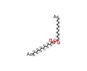 CC(=O)CCCCCCCCCCCC(=O)OOC(=O)CCCCCCCCCCCC(C)=O